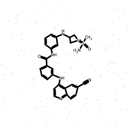 CS(N)(=O)=[N+]1CC(Nc2cccc(NC(=O)c3cccc(Nc4ccnc5ccc(C#N)cc45)c3)c2)C1